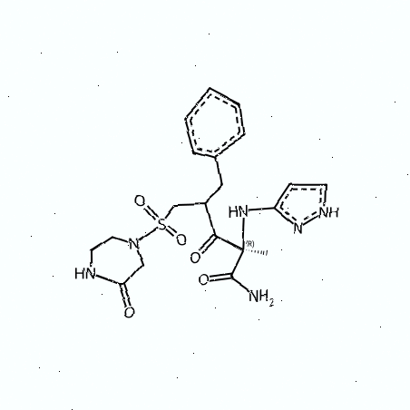 C[C@](Nc1cc[nH]n1)(C(N)=O)C(=O)C(Cc1ccccc1)CS(=O)(=O)N1CCNC(=O)C1